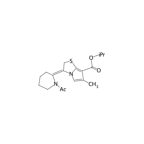 CC(=O)N1CCCCC1=C1CSc2c(C(=O)OC(C)C)c(C)cn21